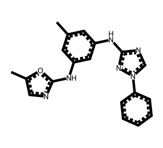 Cc1cc(Nc2ncn(-c3ccccc3)n2)cc(Nc2ncc(C)o2)c1